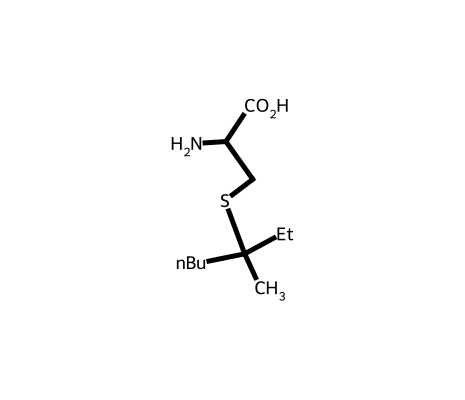 CCCCC(C)(CC)SCC(N)C(=O)O